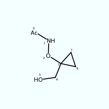 CC(=O)NOC1(CO)CC1